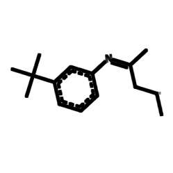 C[CH]CC(C)=Nc1cccc(C(C)(C)C)c1